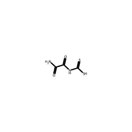 NC(=O)C(=O)NC(=S)S